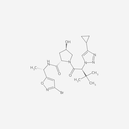 C[C@H](NC(=O)[C@@H]1C[C@@H](O)CN1C(=O)[C@@H](n1cc(C2CC2)nn1)C(C)(C)C)c1cc(Br)no1